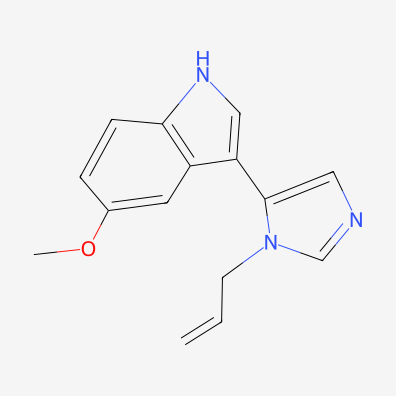 C=CCn1cncc1-c1c[nH]c2ccc(OC)cc12